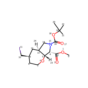 COC(=O)[C@@H]1[C@@H]2OCC[C@@H](CI)C[C@H]2CN1C(=O)OC(C)(C)C